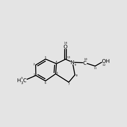 Cc1ccc2c(c1)CCN(CCO)C2=O